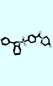 O=C1CCN(C(=O)C2=CC=C(S(=O)(=O)n3cc(-c4ccccc4)c4ccccc43)CC2)CC1